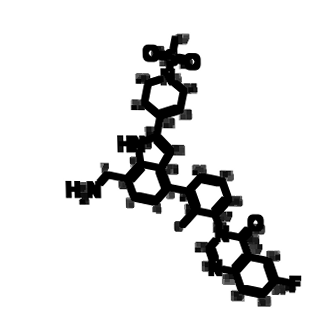 Cc1c(-c2ccc(CN)c3[nH]c(C4=CCN(S(C)(=O)=O)CC4)cc23)cccc1-n1cnc2ccc(F)cc2c1=O